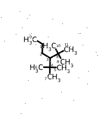 CCCC(C(C)(C)C)C(C)(C)C